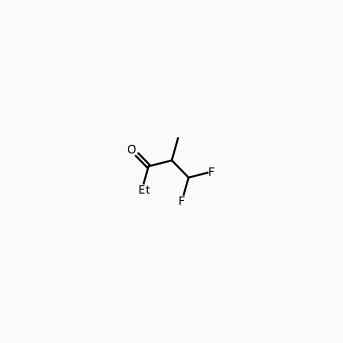 CCC(=O)C(C)C(F)F